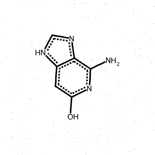 Nc1nc(O)cc2[nH]cnc12